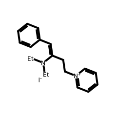 CCN(CC)C(=Cc1ccccc1)CC[n+]1ccccc1.[I-]